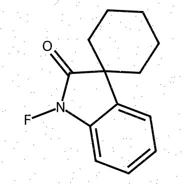 O=C1N(F)c2ccccc2C12CCCCC2